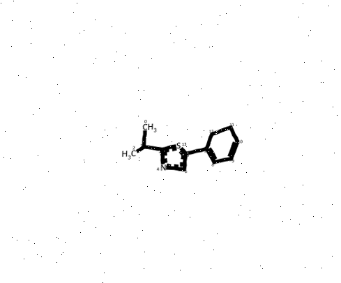 CC(C)c1ncc(C2=CC=CCC2)s1